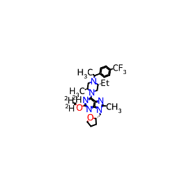 [2H]C([2H])([2H])Oc1nc(N2C[C@@H](CC)N(C(C)c3ccc(C(F)(F)F)cc3)C[C@@H]2C)c2nc(C)n(C[C@@H]3CCCO3)c2n1